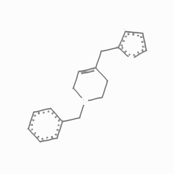 C1=C(Cc2cccs2)CCN(Cc2ccccc2)C1